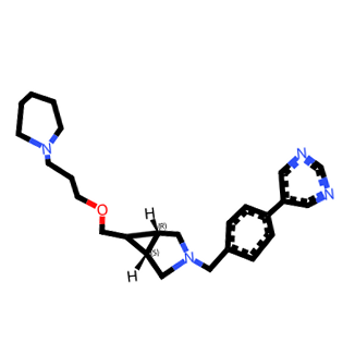 c1ncc(-c2ccc(CN3C[C@@H]4C(COCCCN5CCCCC5)[C@@H]4C3)cc2)cn1